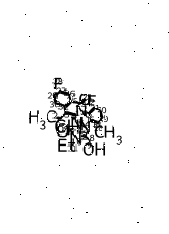 C=C(C)c1c(-n2nc(CO)n(CC)c2=O)n(-c2cc(C)ccc2F)c(=O)c2cc(F)ccc12